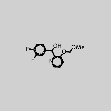 COCOc1cccnc1C(O)c1ccc(F)c(F)c1